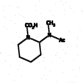 CC(=O)N(C)C1CCCCN1C(=O)O